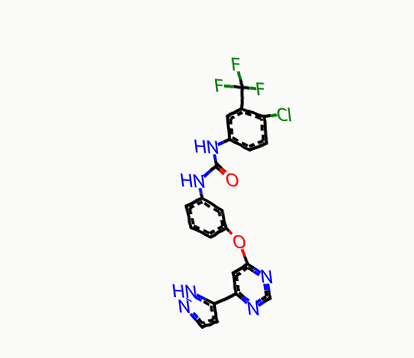 O=C(Nc1cccc(Oc2cc(-c3ccn[nH]3)ncn2)c1)Nc1ccc(Cl)c(C(F)(F)F)c1